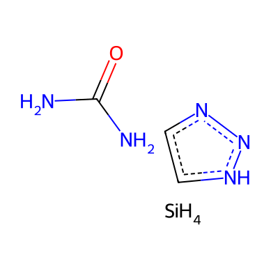 NC(N)=O.[SiH4].c1c[nH]nn1